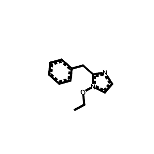 CCOn1ccnc1Cc1ccccc1